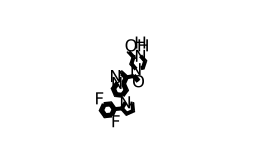 O=C(c1cnn2ccc(N3CCCC3c3cc(F)ccc3F)cc12)N1CCNC(CO)C1